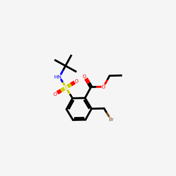 CCOC(=O)c1c(CBr)cccc1S(=O)(=O)NC(C)(C)C